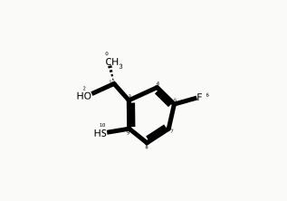 C[C@@H](O)c1cc(F)ccc1S